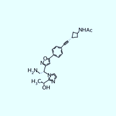 CC(=O)N[C@H]1C[C@H](C#Cc2ccc(-c3cc([C@@H](CN)n4ccnc4[C@H](C)O)no3)cc2)C1